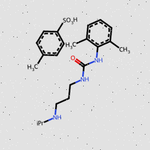 Cc1ccc(S(=O)(=O)O)cc1.Cc1cccc(C)c1NC(=O)NCCCNC(C)C